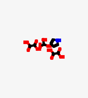 O=C(O)C(=O)O.O=C(O)C(=O)O.OB(O)O.c1cc[nH]c1